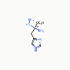 NN[C@](N)(Cc1c[nH]cn1)C(=O)O